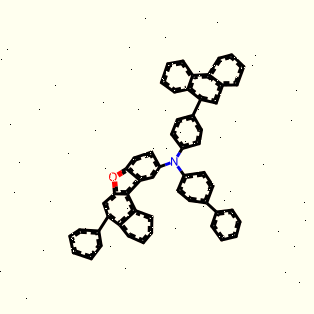 c1ccc(-c2ccc(N(c3ccc(-c4cc5ccccc5c5ccccc45)cc3)c3ccc4oc5cc(-c6ccccc6)c6ccccc6c5c4c3)cc2)cc1